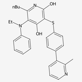 CCCCc1nc(O)c(Sc2ccc(-c3cccnc3C)cc2)c(O)c1N(CC)c1ccccc1